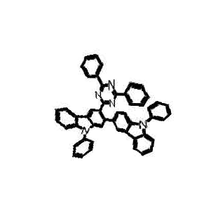 c1ccc(-c2nc(-c3ccccc3)nc(-c3cc4c5ccccc5n(-c5ccccc5)c4cc3-c3ccc4c(c3)c3ccccc3n4-c3ccccc3)n2)cc1